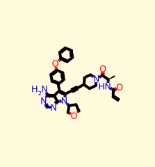 C=CC(=O)N[C@H](C)C(=O)N1CCC(C#Cc2c(-c3ccc(Oc4ccccc4)cc3)c3c(N)ncnc3n2C2CCOC2)CC1